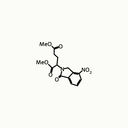 COC(=O)CCC(C(=O)OC)N1Cc2c(cccc2[N+](=O)[O-])C1=O